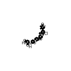 COc1cc(-c2cn(C)c(=O)c(C)c2C)cc(Cl)c1CN1CC[C@H](C2CCN(c3ccc(NC4CCC(=O)NC4=O)cc3F)CC2)C(F)(F)C1